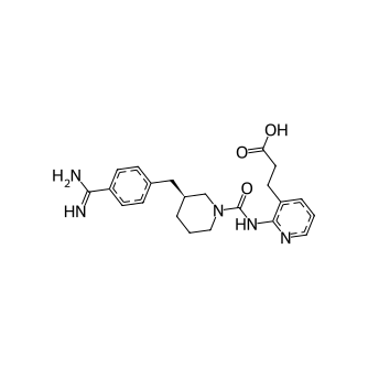 N=C(N)c1ccc(C[C@@H]2CCCN(C(=O)Nc3ncccc3CCC(=O)O)C2)cc1